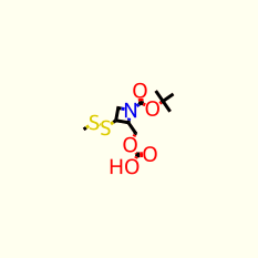 CSSC1CN(C(=O)OC(C)(C)C)C1COC(=O)O